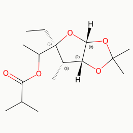 CC[C@]1(C(C)OC(=O)C(C)C)O[C@@H]2OC(C)(C)O[C@@H]2[C@@H]1C